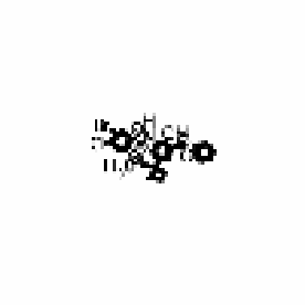 COc1cc(Cl)c(Br)cc1S(=O)(=O)Nc1cc(C2(C#N)CCC2)cc(C(=O)Oc2ccccc2)c1O